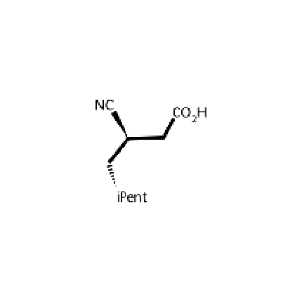 CCC[C@@H](C)C[C@@H](C#N)CC(=O)O